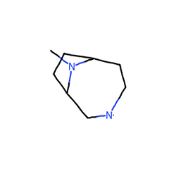 CN1C2CC[N]CC1CC2